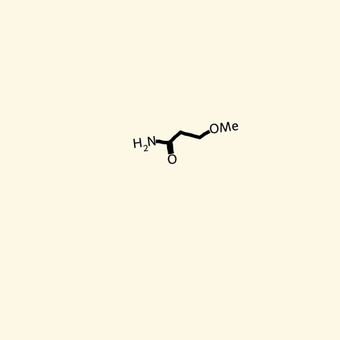 COCCC(N)=O